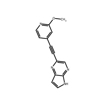 COc1cc(C#Cc2cnc3[nH]ccc3n2)ccn1